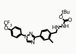 Cc1cc(-c2ncn(-c3ccc(OC(F)(F)F)cc3)n2)ccc1CNNC(=O)OC(C)(C)C